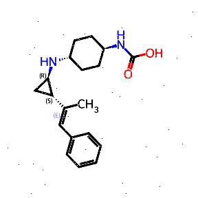 C/C(=C\c1ccccc1)[C@@H]1C[C@H]1N[C@H]1CC[C@H](NC(=O)O)CC1